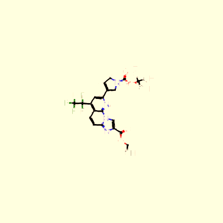 CCOC(=O)c1cn2c(ccc3c(C(F)(F)C(F)(F)F)cc(C4=CCN(C(=O)OC(C)(C)C)C4)nc32)n1